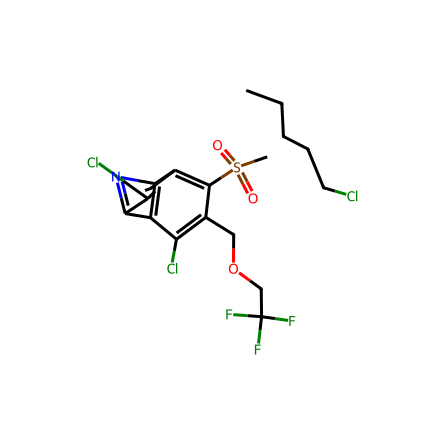 CCCCCCl.CS(=O)(=O)c1c(COCC(F)(F)F)c(Cl)c2c3nc-2c(Cl)cc13